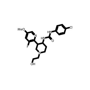 COc1cnc(C2CN(CCO)CCC2NC(=O)Nc2ccc(Cl)cc2)c(F)c1